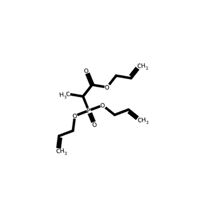 C=CCOC(=O)C(C)P(=O)(OCC=C)OCC=C